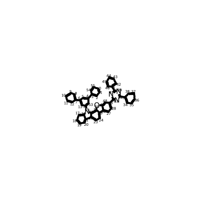 c1ccc(-c2cc(-c3ccccc3)cc(-n3c4ccccc4c4ccc5c6ccc(-c7nc(-c8ccccc8)nc(-c8ccccc8)n7)cc6oc5c43)c2)cc1